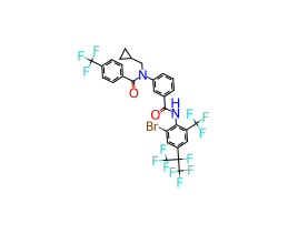 O=C(Nc1c(Br)cc(C(F)(C(F)(F)F)C(F)(F)F)cc1C(F)(F)F)c1cccc(N(CC2CC2)C(=O)c2ccc(C(F)(F)F)cc2)c1